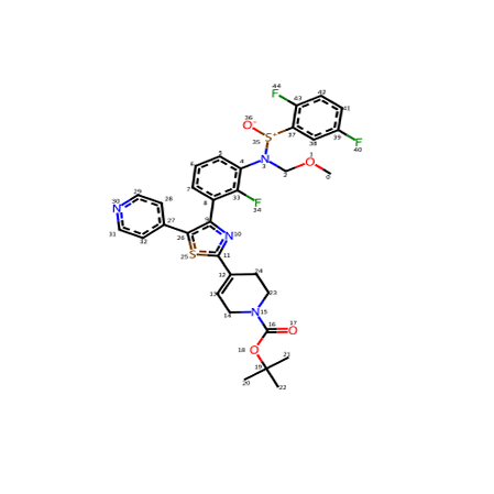 COCN(c1cccc(-c2nc(C3=CCN(C(=O)OC(C)(C)C)CC3)sc2-c2ccncc2)c1F)[S+]([O-])c1cc(F)ccc1F